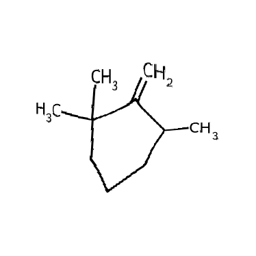 C=C1C(C)CCCC1(C)C